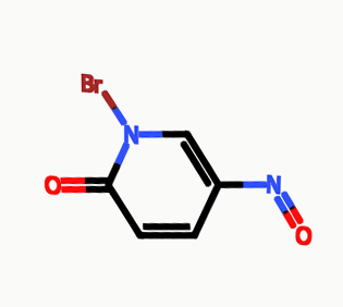 O=Nc1ccc(=O)n(Br)c1